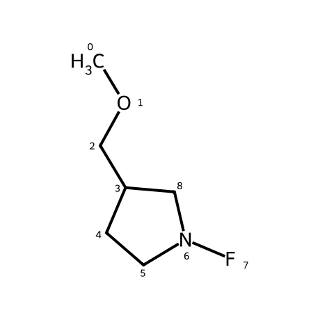 COCC1CCN(F)C1